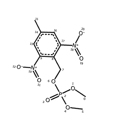 COP(=O)(OC)OCc1c([N+](=O)[O-])cc(C)cc1[N+](=O)[O-]